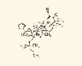 CCCC(C)(C)CC[C@@](C)(CCC(C)(C)[C@]1(C)CC[C@H]2C(C)(C)C(=O)C(C#N)=C[C@]2(C)/C1=C/C(C)=O)NS(=O)(=O)c1cccs1